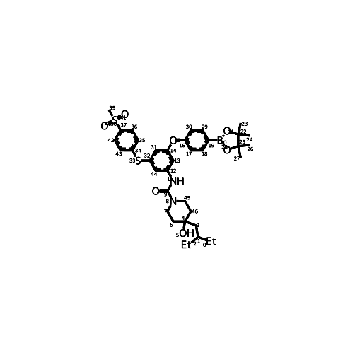 CCC(CC)CC1(O)CCN(C(=O)Nc2cc(Oc3ccc(B4OC(C)(C)C(C)(C)O4)cc3)cc(Sc3ccc(S(C)(=O)=O)cc3)c2)CC1